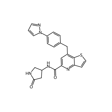 O=C1CC(NC(=O)c2cc(Cc3ccc(-n4cccn4)cc3)c3sccc3n2)CN1